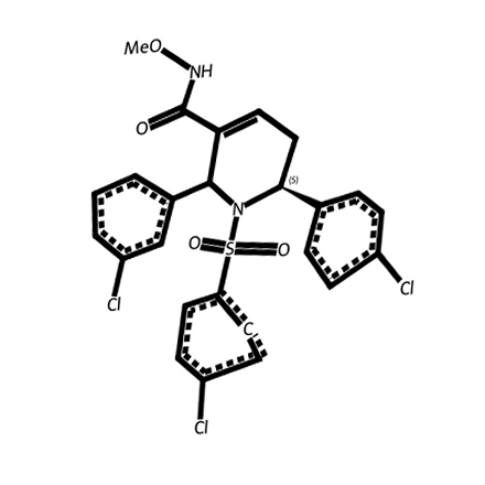 CONC(=O)C1=CC[C@@H](c2ccc(Cl)cc2)N(S(=O)(=O)c2ccc(Cl)cc2)C1c1cccc(Cl)c1